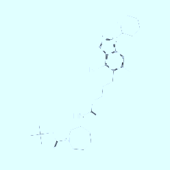 CC(C)(C)OC(=O)N1CCCC[C@@H](NC(=O)OCCCc2c(Cl)cc3c(cnn3C3CCCCO3)c2Br)C1